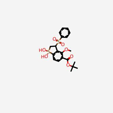 COc1c(C(=O)OC(C)(C)C)ccc2c1C(S(=O)(=O)c1ccccc1)CS2(O)O